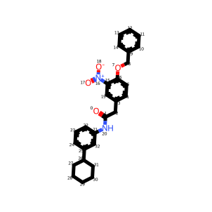 O=C(Cc1ccc(OCc2ccccc2)c([N+](=O)[O-])c1)Nc1cccc(C2CCCCC2)c1